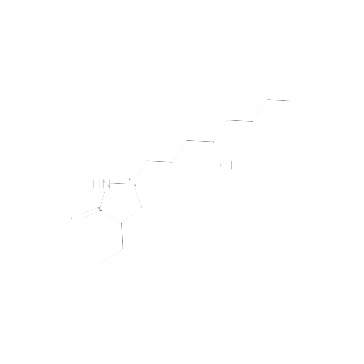 [CH2]CC1CN(CCCC(O)CCCC)NC1=O